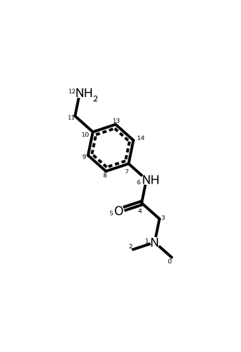 CN(C)CC(=O)Nc1ccc(CN)cc1